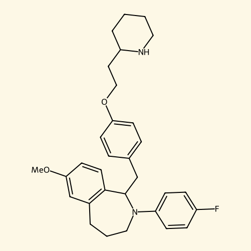 COc1ccc2c(c1)CCCN(c1ccc(F)cc1)C2Cc1ccc(OCCC2CCCCN2)cc1